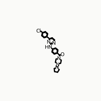 O=C(c1ccc(Nc2nccc(-c3ccc(Cl)cc3)n2)cc1)N1CCN(N2CCCC2)CC1